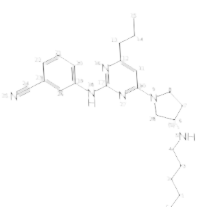 CCCCCN[C@H]1CCN(c2cc(CCC)nc(Nc3cccc(C#N)c3)n2)C1